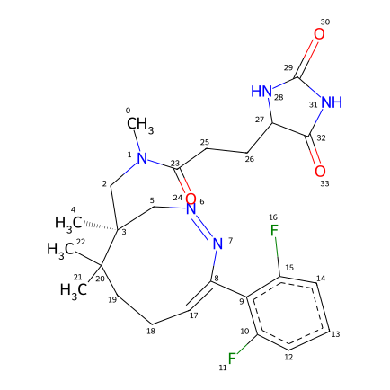 CN(C[C@@]1(C)C/N=N\C(c2c(F)cccc2F)=C/CCC1(C)C)C(=O)CCC1NC(=O)NC1=O